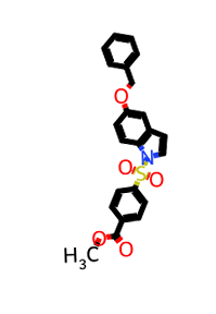 COC(=O)c1ccc(S(=O)(=O)n2ccc3cc(OCc4ccccc4)ccc32)cc1